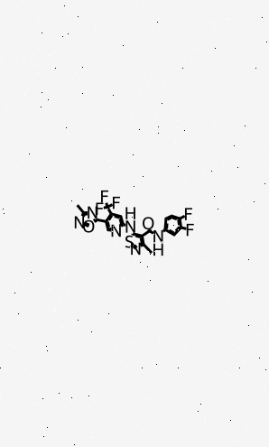 Cc1noc(-c2cnc(Nc3snc(C)c3C(=O)Nc3ccc(F)c(F)c3)cc2C(F)(F)F)n1